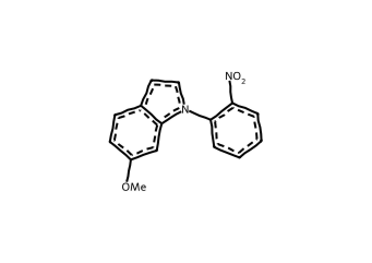 COc1ccc2ccn(-c3ccccc3[N+](=O)[O-])c2c1